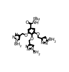 Bn1cc(COc2cc(C(=O)NC(C)(C)C)cc(OCc3cn(B)nn3)c2OCc2cn(B)nn2)nn1